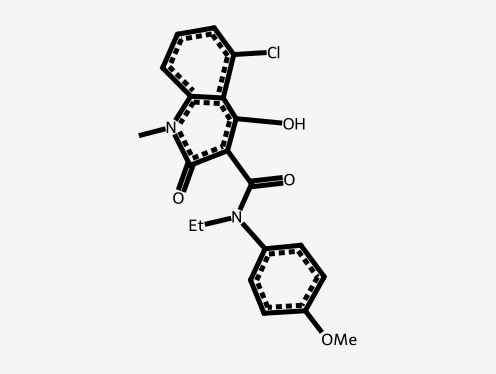 CCN(C(=O)c1c(O)c2c(Cl)cccc2n(C)c1=O)c1ccc(OC)cc1